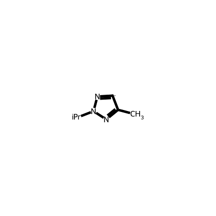 Cc1[c]nn(C(C)C)n1